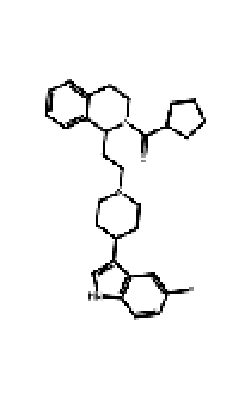 O=C(C1CCCC1)N1CCc2ccccc2C1CCN1CCC(c2c[nH]c3ccc(F)cc23)CC1